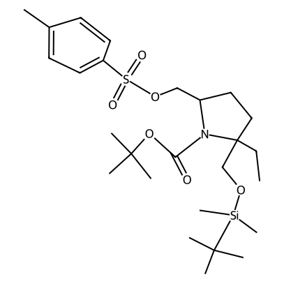 CCC1(CO[Si](C)(C)C(C)(C)C)CCC(COS(=O)(=O)c2ccc(C)cc2)N1C(=O)OC(C)(C)C